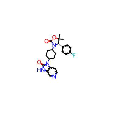 CC1(C)OC(=O)N(C2CCC(n3c(=O)[nH]c4cnccc43)CC2)[C@H]1c1ccc(F)cc1